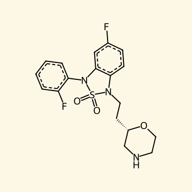 O=S1(=O)N(CC[C@H]2CNCCO2)c2ccc(F)cc2N1c1ccccc1F